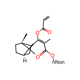 C=CC(=O)OC(=C(C)C(=O)OCCCCCCCCC)C1C[C@H]2CC[C@@]1(C)C2(C)C